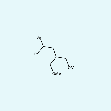 CCCCC(CC)CC(COC)COC